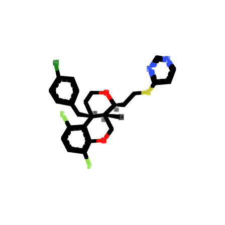 Fc1ccc(F)c2c1OC[C@H]1[C@H](CCSc3ccncn3)OCC[C@@]21Cc1ccc(Cl)cc1